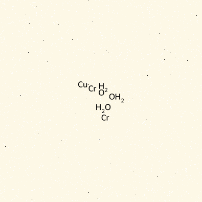 O.O.O.[Cr].[Cr].[Cu]